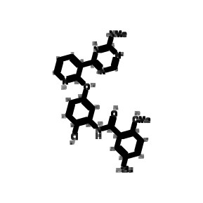 CNc1ncnc(-c2cccnc2Oc2ccc(Cl)c(NC(=O)c3cc(C(C)(C)C)ccc3OC)c2)n1